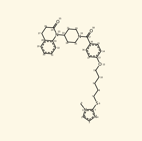 Cn1ccnc1SCCCCCOc1ccc(C(=O)N2CCC(N3C(=O)CCc4ccccc43)CC2)cc1